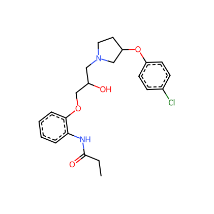 CCC(=O)Nc1ccccc1OCC(O)CN1CCC(Oc2ccc(Cl)cc2)C1